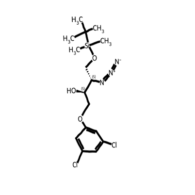 CC(C)(C)[Si](C)(C)OC[C@H](N=[N+]=[N-])[C@H](O)COc1cc(Cl)cc(Cl)c1